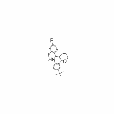 CC(C)(C)c1ccc2c(c1)C1OCCCC1C(c1ccc(F)cc1F)N2